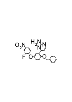 Nc1nccc(-c2cc(Oc3ccc([N+](=O)[O-])cc3F)ccc2OCc2ccccc2)n1